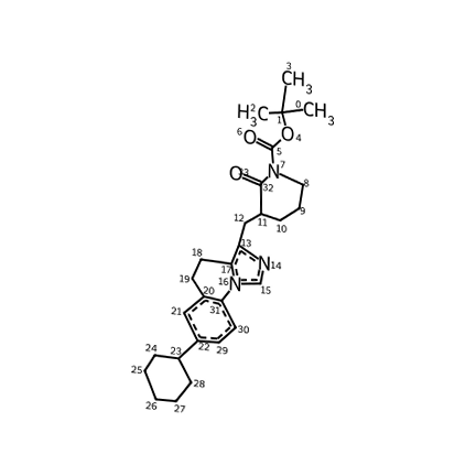 CC(C)(C)OC(=O)N1CCCC(Cc2ncn3c2CCc2cc(C4CCCCC4)ccc2-3)C1=O